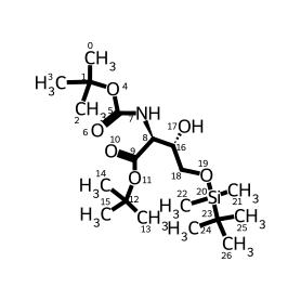 CC(C)(C)OC(=O)N[C@H](C(=O)OC(C)(C)C)[C@H](O)CO[Si](C)(C)C(C)(C)C